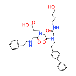 O=C(O)CCN(CC(=O)N(CCc1ccc(-c2ccccc2)cc1)CC(=O)NCCCCO)C(=O)CNCCc1ccccc1